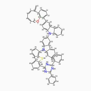 C=C1/C=C\C=C/COc2c1cccc2-c1ccc2c(c1)c1ccccc1n2-c1ccc2c(c1)c1ccccc1n2-c1cccc2c1sc1c(-c3nc(-c4ccccc4)nc(-c4ccccc4)n3)cccc12